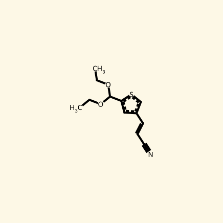 CCOC(OCC)c1cc(C=CC#N)cs1